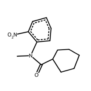 CN(C(=O)C1CCCCC1)c1ccccc1[N+](=O)[O-]